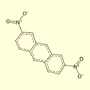 O=[N+]([O-])c1ccc2cc3ccc([N+](=O)[O-])cc3cc2c1